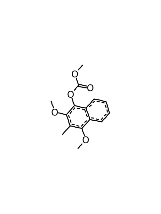 COC(=O)Oc1c(OC)c(C)c(OC)c2ccccc12